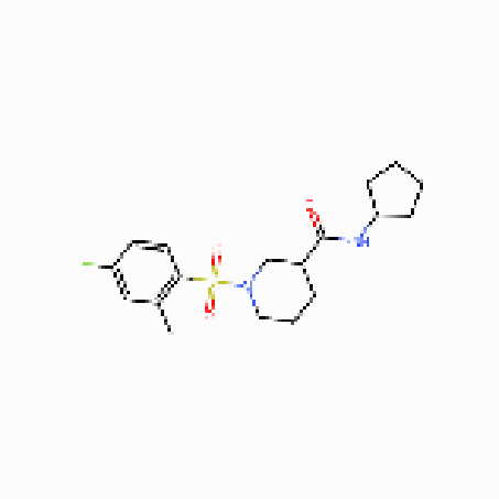 Cc1cc(F)ccc1S(=O)(=O)N1CCCC(C(=O)NC2CCCC2)C1